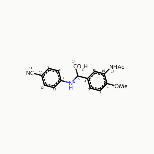 COc1ccc(C(Nc2ccc(C#N)cc2)C(=O)O)cc1NC(C)=O